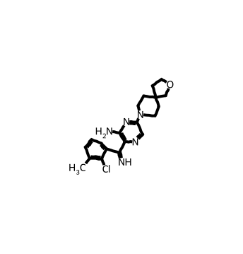 Cc1cccc(C(=N)c2ncc(N3CCC4(CCOC4)CC3)nc2N)c1Cl